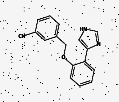 [C-]#[N+]c1cccc(COc2ccccc2-c2c[nH]cn2)c1